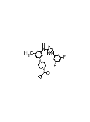 Cc1cc(Nc2ncn(-c3cc(F)cc(F)c3)n2)cc(N2CCN(C(=O)C3CC3)CC2)c1